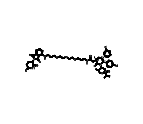 CC(C)C(CS(=O)(=O)C(C)C)N1C(=O)[C@@](C)(CC(=O)NCCCOCCOCCOCCCNc2cccc3c2C(=O)N(C2CCC(=O)NC2=O)C3=O)C[C@H](c2cccc(Cl)c2)[C@H]1c1ccc(Cl)cc1